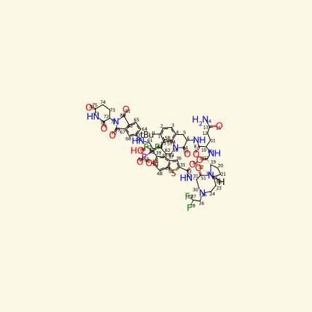 CC(C)(C)c1ccc(CC(NC(=O)C(CCC(N)=O)NC(=O)[C@@H]2CC[C@@H]3CCN(CC(F)F)C[C@H](NC(=O)c4cc5cc(C(F)(F)P(=O)(O)O)ccc5s4)C(=O)N32)C(=O)N2CCC(CCNc3ccc4c(c3)C(=O)N(C3CCC(=O)NC3=O)C4=O)CC2)cc1